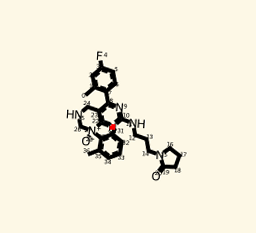 Cc1cc(F)ccc1-c1nc(NCCCN2CCCC2=O)nc2c1CNC[N+]2([O-])c1c(C)cccc1C